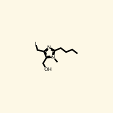 CCCCc1nc(CI)c(CO)n1C